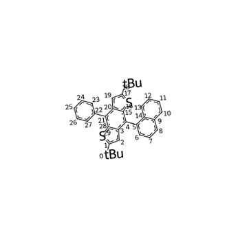 CC(C)(C)c1cc2c(-c3cccc4ccccc34)c3sc(C(C)(C)C)cc3c(-c3ccccc3)c2s1